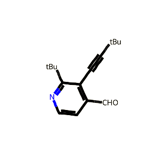 CC(C)(C)C#Cc1c(C=O)ccnc1C(C)(C)C